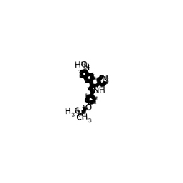 CN(C)CCOc1ccc(-c2cc(-c3ccc4c(c3)CCC4=NO)c(-c3ccncc3)[nH]2)cc1